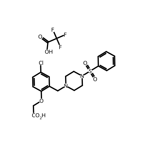 O=C(O)C(F)(F)F.O=C(O)COc1ccc(Cl)cc1CN1CCN(S(=O)(=O)c2ccccc2)CC1